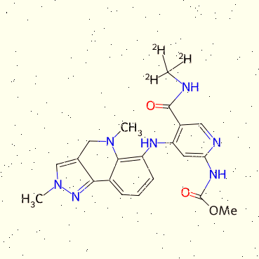 [2H]C([2H])([2H])NC(=O)c1cnc(NC(=O)OC)cc1Nc1cccc2c1N(C)Cc1cn(C)nc1-2